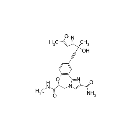 CNC(=O)C1Cn2cc(C(N)=O)nc2-c2cc(C#C[C@@](C)(O)c3cc(C)on3)ccc2O1